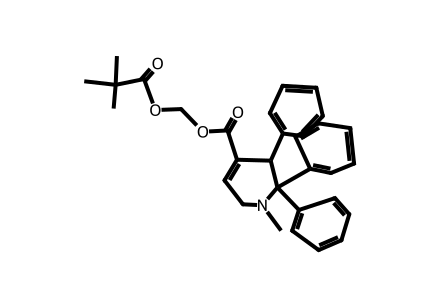 CN1CC=C(C(=O)OCOC(=O)C(C)(C)C)C(c2ccccc2)C1(c1ccccc1)c1ccccc1